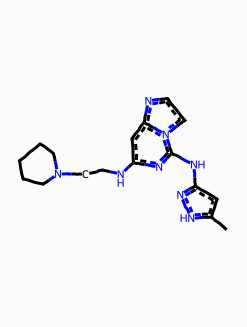 Cc1cc(Nc2nc(NCCN3CCCCC3)cc3nccn23)n[nH]1